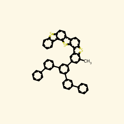 Cc1cc(-c2cc(-c3cccc(-c4ccccc4)c3)cc(-c3cccc(-c4ccccc4)c3)c2)cc2c1sc1ccc3c4ccc5sc6ccccc6c5c4sc3c12